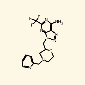 Nc1nc(C(F)(F)F)nc2c1nnn2CC1CN(Cc2ccccn2)CCO1